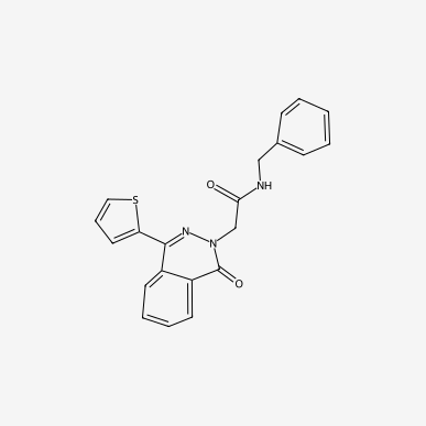 O=C(Cn1nc(-c2cccs2)c2ccccc2c1=O)NCc1ccccc1